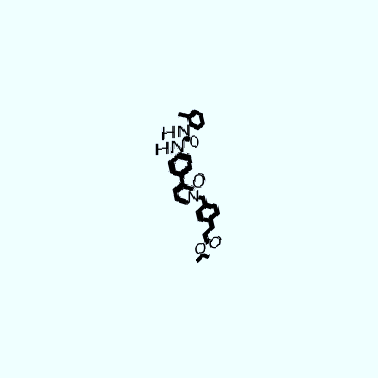 Cc1ccccc1NC(=O)Nc1ccc(-c2cccn(Cc3ccc(CCC(=O)OC(C)C)cc3)c2=O)cc1